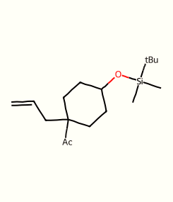 C=CCC1(C(C)=O)CCC(O[Si](C)(C)C(C)(C)C)CC1